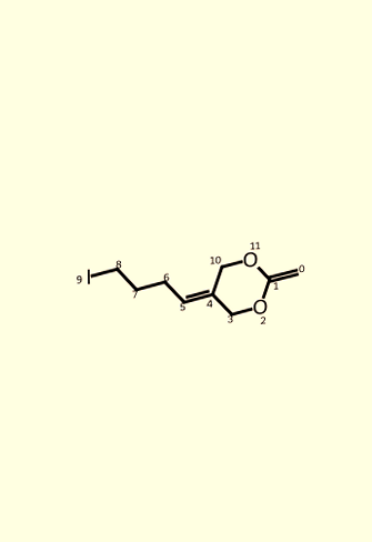 C=C1OCC(=CCCCI)CO1